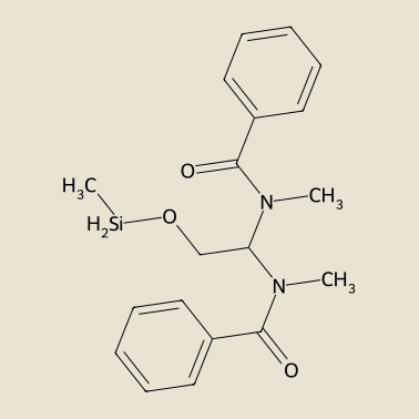 C[SiH2]OCC(N(C)C(=O)c1ccccc1)N(C)C(=O)c1ccccc1